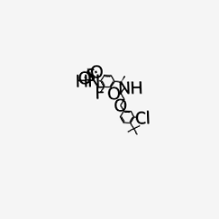 C[C@@H](NC(=O)COc1ccc(C(C)(C)C)c(Cl)c1)c1ccc(NS(C)(=O)=O)c(F)c1